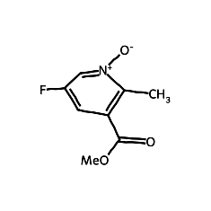 COC(=O)c1cc(F)c[n+]([O-])c1C